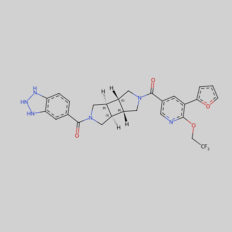 O=C(c1ccc2c(c1)NNN2)N1C[C@@H]2[C@H](C1)[C@H]1CN(C(=O)c3cnc(OCC(F)(F)F)c(-c4ccco4)c3)C[C@@H]21